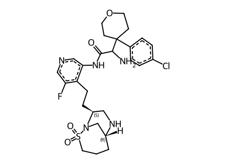 NC(C(=O)Nc1cncc(F)c1CC[C@H]1CN[C@@H]2CCCS(=O)(=O)N1C2)C1(c2ccc(Cl)cc2)CCOCC1